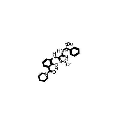 CC(C)(C)[C@@H](Nc1n[s+]([O-])nc1Nc1cccc(C(=O)N2CCCCC2)c1O)c1ccccc1